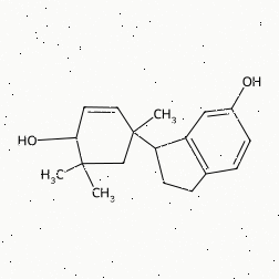 CC1(C)CC(C)(C2CCc3ccc(O)cc32)C=CC1O